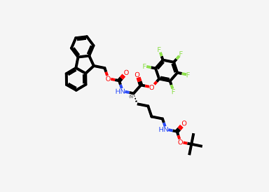 CC(C)(C)OC(=O)NCCCC[C@H](NC(=O)OCC1c2ccccc2-c2ccccc21)C(=O)Oc1c(F)c(F)c(F)c(F)c1F